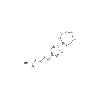 O=C(O)CCCOc1ccc(/C2=C/CCCCCC2)cc1